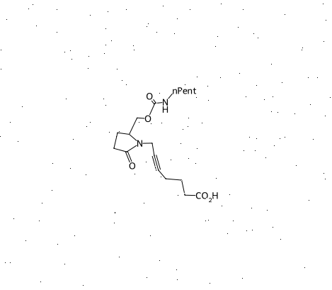 CCCCCNC(=O)OCC1CCC(=O)N1CC#CCCCC(=O)O